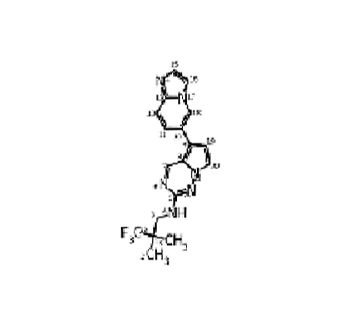 CC(C)(CNc1ncc2c(-c3ccc4nccn4c3)ccn2n1)C(F)(F)F